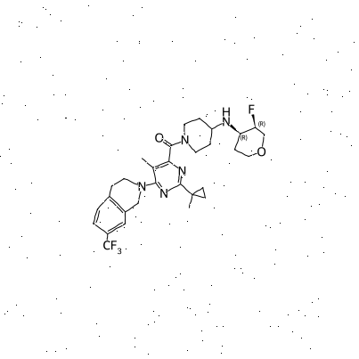 Cc1c(C(=O)N2CCC(N[C@@H]3CCOC[C@@H]3F)CC2)nc(C2(C)CC2)nc1N1CCc2ccc(C(F)(F)F)cc2C1